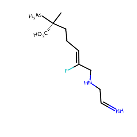 C[C@]([AsH2])(CC/C=C(\F)CNCC=N)C(=O)O